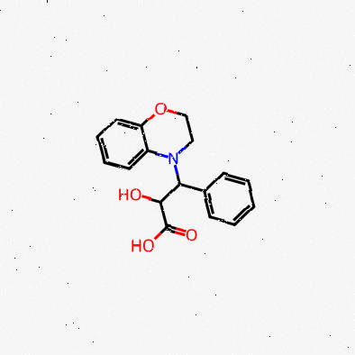 O=C(O)C(O)C(c1ccccc1)N1CCOc2ccccc21